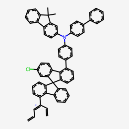 C=C/C=C(\C=C)c1cccc2c1-c1ccccc1C21c2cc(Cl)ccc2-c2c(-c3ccc(N(c4ccc(-c5ccccc5)cc4)c4ccc5c(c4)C(C)(C)c4ccccc4-5)cc3)cccc21